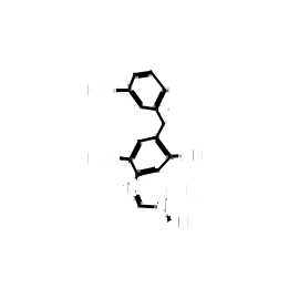 Cc1cc(/N=C\N(C)C)c(C)cc1Cc1cccc(C(F)(F)F)c1